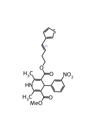 COC(=O)C1=C(C)NC(C)=C(C(=O)OCC/C=C/c2ccsc2)C1c1cccc([N+](=O)[O-])c1